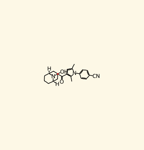 Cc1cc(C(=O)CN2[C@@H]3CCC[C@H]2CC(O)C3)c(C)n1-c1ccc(C#N)cc1